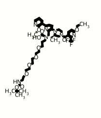 CCOc1ccc(C(=O)N2CCN(c3ccc(-c4cccnc4OCC)nc3CN(CCCOCCOCCOCCOCCNC(=O)OC(C)(C)C)C(=O)O)[C@H](CC)C2)c(C(F)(F)F)n1